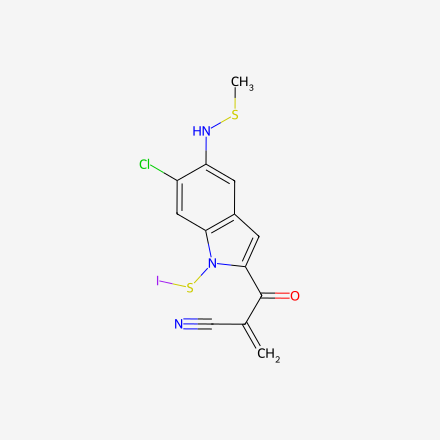 C=C(C#N)C(=O)c1cc2cc(NSC)c(Cl)cc2n1SI